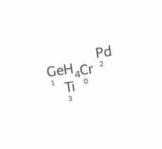 [Cr].[GeH4].[Pd].[Ti]